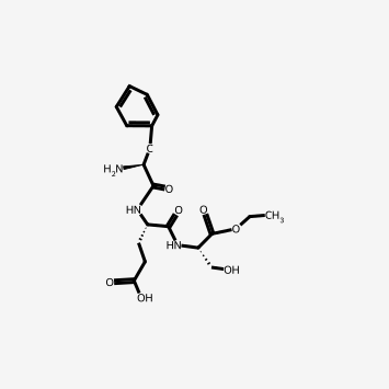 CCOC(=O)[C@H](CO)NC(=O)[C@H](CCC(=O)O)NC(=O)[C@@H](N)Cc1ccccc1